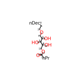 CCCCCCCCCCCCOC[C@H](O)[C@@H](O)[C@H](O)COC(=O)CCC